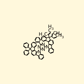 C/C=C\C(=C/C)C1(/C(C)=C/C)c2ccccc2-c2c1ccc1c3ccccc3n(-c3nc(-c4ccccc4)nc(-n4c5ccccc5c5ccc6c(c54)-c4ccccc4C6(c4ccccc4)c4ccccc4)n3)c21